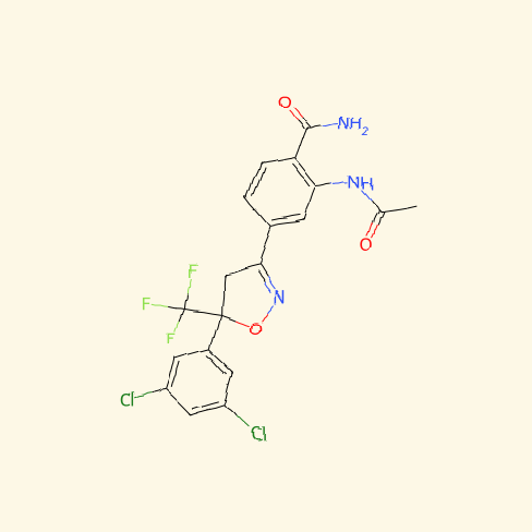 CC(=O)Nc1cc(C2=NOC(c3cc(Cl)cc(Cl)c3)(C(F)(F)F)C2)ccc1C(N)=O